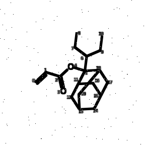 C=CC(=O)OC1(C(CC)CC)C2CC3CC(C2)CC1C3